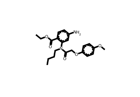 CCCCN(C(=O)COc1ccc(OC)cc1)c1cc(N)ccc1C(=O)OCC